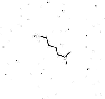 CCCCCCC[CH2][SnH]([CH3])[CH3]